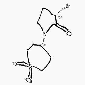 O=C1[C@@H](Br)CCN1[C@@H]1CCS(=O)(=O)C1